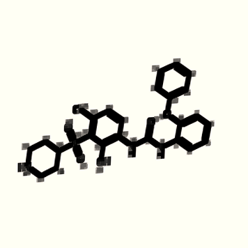 O=C(Nc1ccccc1Oc1ccccc1)Nc1ccc(Cl)c(S(=O)(=O)C2CCNCC2)c1O